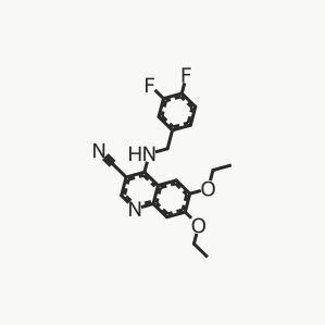 CCOc1cc2ncc(C#N)c(NCc3ccc(F)c(F)c3)c2cc1OCC